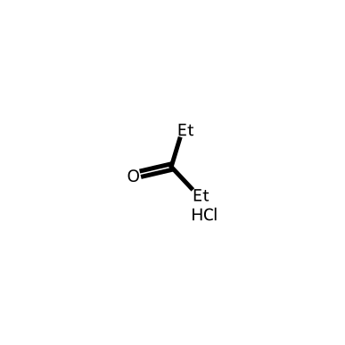 CCC(=O)CC.Cl